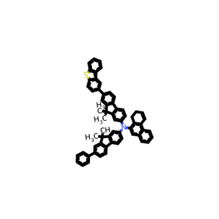 CC1(C)c2cc(-c3ccccc3)ccc2-c2ccc(N(c3ccc4c(c3)C(C)(C)c3cc(-c5ccc6sc7ccccc7c6c5)ccc3-4)c3cc4ccccc4c4c3CCC=C4)cc21